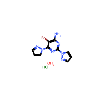 Cl.Nc1nc(-n2cccn2)nc(-n2cccn2)c1Br.O